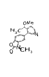 COC(C)c1ccncc1-c1ccc2oc(=O)n(C)c2c1